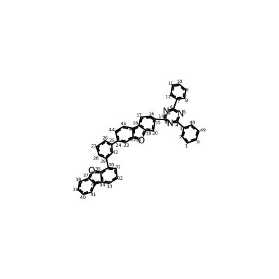 c1ccc(-c2nc(-c3ccccc3)nc(-c3ccc4c(c3)oc3cc(-c5cccc(-c6cccc7c6oc6ccccc67)c5)ccc34)n2)cc1